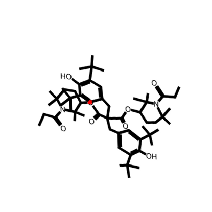 CCC(=O)N1C(C)(C)CCC(OC(=O)C(Cc2cc(C(C)(C)C)c(O)c(C(C)(C)C)c2)(Cc2cc(C(C)(C)C)c(O)c(C(C)(C)C)c2)C(=O)OC2CCC(C)(C)N(C(=O)CC)C2(C)C)C1(C)C